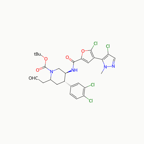 Cn1ncc(Cl)c1-c1cc(C(=O)N[C@@H]2CN(C(=O)OC(C)(C)C)C(CC=O)C[C@H]2c2ccc(Cl)c(Cl)c2)oc1Cl